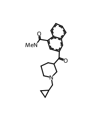 CNC(=O)c1cc(C(=O)C2CCCN(CC3CC3)C2)cc2ccccc12